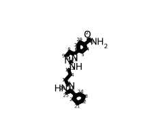 NC(=O)c1ccc(-c2ccnc(NCCCc3nc(-c4ccccc4)c[nH]3)n2)cc1